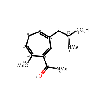 CNC(=O)C1=CC(C[C@H](NC)C(=O)O)=CCC=C1OC